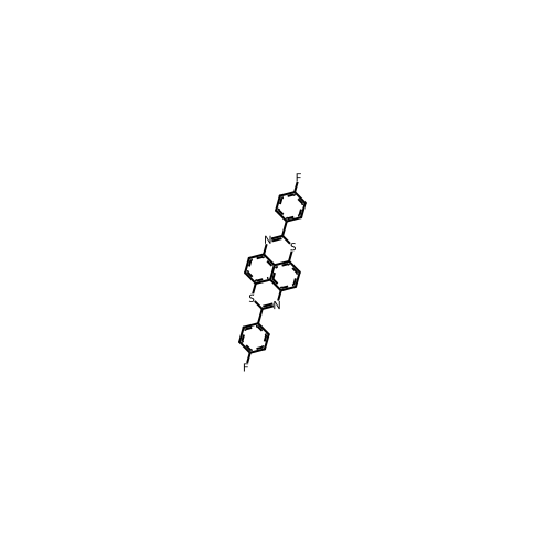 Fc1ccc(C2=Nc3ccc4c5c(ccc(c35)S2)N=C(c2ccc(F)cc2)S4)cc1